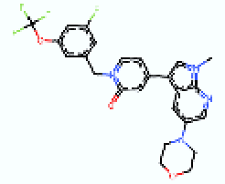 Cn1cc(-c2ccn(Cc3cc(F)cc(OC(F)(F)F)c3)c(=O)c2)c2cc(N3CCOCC3)cnc21